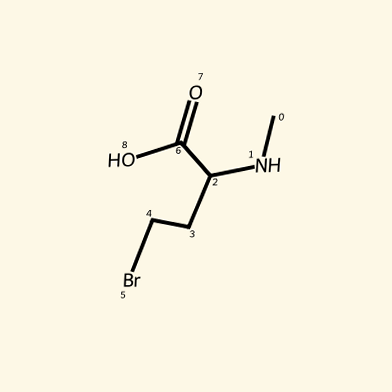 CNC(CCBr)C(=O)O